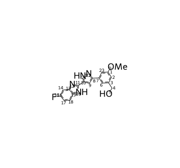 COc1cc(CO)cc(-c2cc(-c3nc4cc(F)ccc4[nH]3)[nH]n2)c1